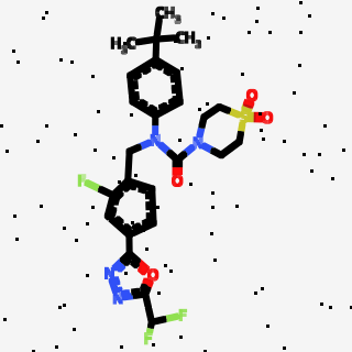 CC(C)(C)c1ccc(N(Cc2ccc(-c3nnc(C(F)F)o3)cc2F)C(=O)N2CCS(=O)(=O)CC2)cc1